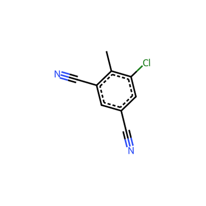 Cc1c(Cl)cc(C#N)cc1C#N